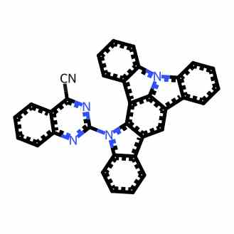 N#Cc1nc(-n2c3ccccc3c3cc4c5ccccc5n5c6ccccc6c(c32)c45)nc2ccccc12